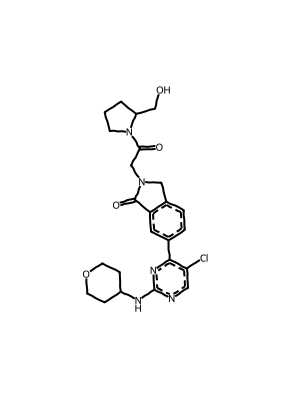 O=C1c2cc(-c3nc(NC4CCOCC4)ncc3Cl)ccc2CN1CC(=O)N1CCCC1CO